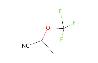 CC(C#N)OC(F)(F)F